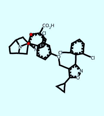 O=C(O)c1ccnc(N2C3CCC2CC(O)(c2ccc(OCc4c(-c5c(Cl)cccc5Cl)noc4C4CC4)cc2Cl)C3)c1